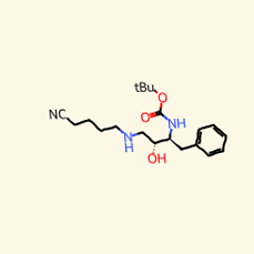 CC(C)(C)OC(=O)N[C@@H](Cc1ccccc1)[C@H](O)CNCCCCC#N